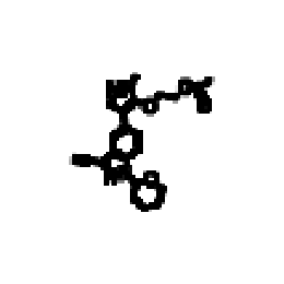 C#Cc1nn(C2CCCCO2)c2ccc(-c3cnn(C)c3OCCOS(C)=O)cc12